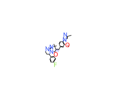 COc1cc(/C=C2/C(=O)N3C(=NC2(C)C)N(C)CCC3c2ccc(F)cc2)ccc1-n1cnc(C)c1